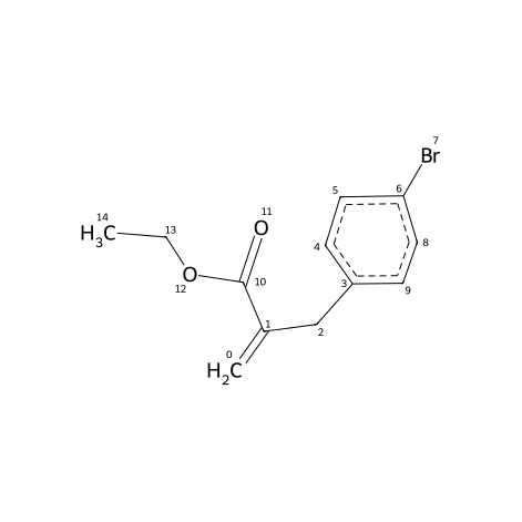 C=C(Cc1ccc(Br)cc1)C(=O)OCC